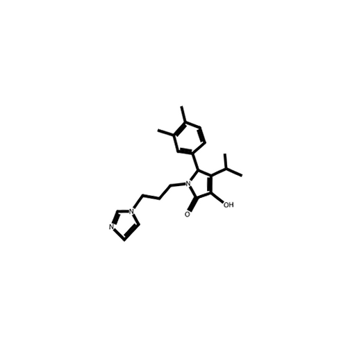 Cc1ccc(C2C(C(C)C)=C(O)C(=O)N2CCCn2ccnc2)cc1C